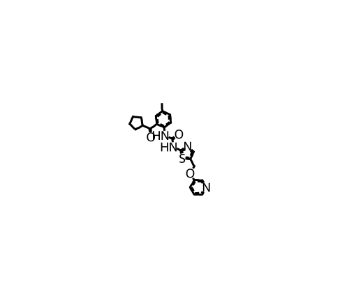 Cc1ccc(NC(=O)Nc2ncc(COc3cccnc3)s2)c(C(=O)C2CCCC2)c1